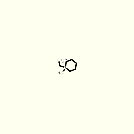 CCOC(=O)CS1(C)CCCCC1